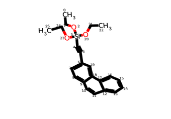 CCO[Si](C#Cc1ccc2ccc3ccccc3c2c1)(OCC)OCC